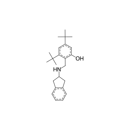 CC(C)(C)c1cc(O)c(CNC2Cc3ccccc3C2)c(C(C)(C)C)c1